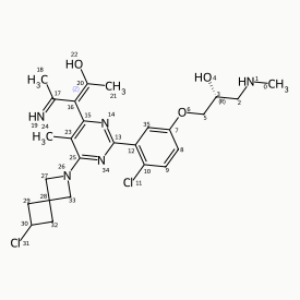 CNC[C@@H](O)COc1ccc(Cl)c(-c2nc(/C(C(C)=N)=C(\C)O)c(C)c(N3CC4(CC(Cl)C4)C3)n2)c1